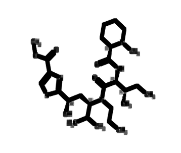 CCCN(C(=O)[C@@H](NC(=O)[C@H]1CCCCN1C)[C@@H](C)CC)[C@H](C[C@@H](O)c1nc(C(=O)OC)cs1)C(C)C